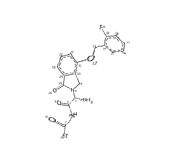 BC(C(=O)NC(=O)CC)N1Cc2c(OCc3ccccc3F)cccc2C1=O